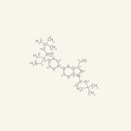 CC(C)(C)OC(=O)n1nc(C=O)c2cc(-c3ccc(C(C)(CN)C(=O)OC(C)(C)C)cc3)ccc21